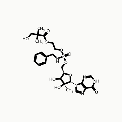 CC(C)(CO)C(=O)SCCOP(=O)(NCc1ccccc1)OC[C@H]1O[C@H](n2cnc3c(=O)[nH]cnc32)[C@@](C)(O)C1O